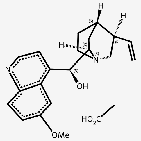 C=C[C@H]1C[N@]2CC[C@H]1C[C@@H]2[C@@H](O)c1ccnc2ccc(OC)cc12.CC(=O)O